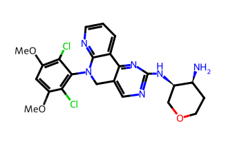 COc1cc(OC)c(Cl)c(N2Cc3cnc(N[C@@H]4COCC[C@@H]4N)nc3-c3cccnc32)c1Cl